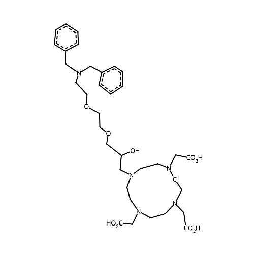 O=C(O)CN1CCN(CC(=O)O)CCN(CC(O)COCCOCCN(Cc2ccccc2)Cc2ccccc2)CCN(CC(=O)O)CC1